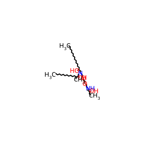 CCCCCCCCCCCCCCC(O)CN(CCOCCOCCNCC(O)CC)CC(O)C(C)CCCCCCCCCCCC